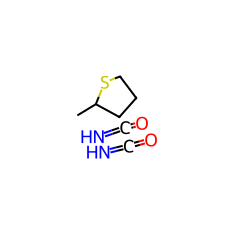 CC1CCCS1.N=C=O.N=C=O